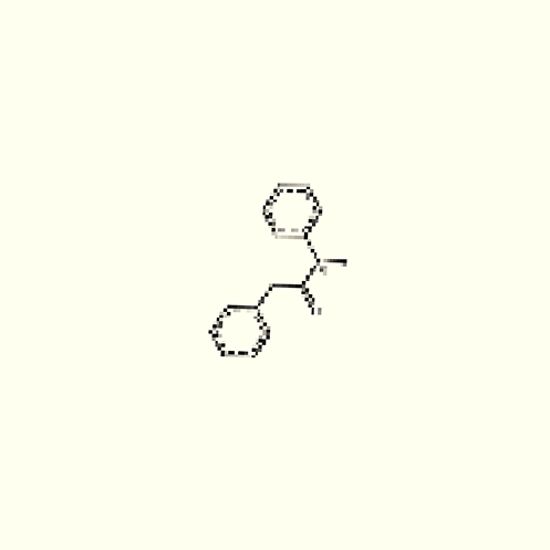 C[C@@H](C(=O)Cc1ccccc1)c1ccccc1